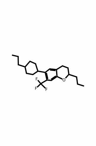 CCCC1CCC(c2cc3c(cc2C(F)(F)F)OC(CCC)CC3)CC1